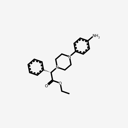 CCOC(=O)[C@H](c1ccccc1)N1CCN(c2ccc(N)cc2)CC1